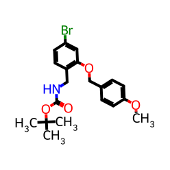 COc1ccc(COc2cc(Br)ccc2CNC(=O)OC(C)(C)C)cc1